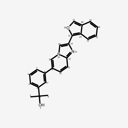 CC(C)(O)c1cccc(-c2ccc3nc(-c4occ5ccccc45)cn3c2)c1